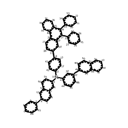 c1ccc(-c2ccc3cc(N(c4ccc(-c5ccc6c(c5)c(-c5ccccc5)c(-c5ccccc5)c5ccccc56)cc4)c4cccc(-c5ccc6ccccc6c5)c4)ccc3c2)cc1